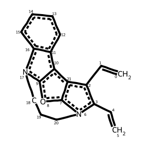 C=Cc1c(C=C)n2c3oc4c(c5ccccc5n4CCC2)c13